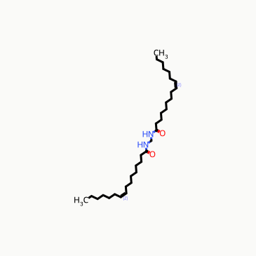 CCCCCC/C=C\CCCCCCCC(=O)NCNC(=O)CCCCCCC/C=C\CCCCCC